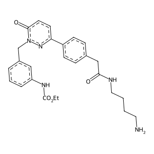 CCOC(=O)Nc1cccc(Cn2nc(-c3ccc(CC(=O)NCCCCN)cc3)ccc2=O)c1